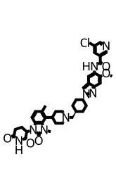 COc1cc2nn([C@H]3CC[C@H](CN4CCC(c5c(C)ccc6c5n(C)c(=O)n6C5CCC(=O)NC5=O)CC4)CC3)cc2cc1NC(=O)c1cncc(Cl)c1